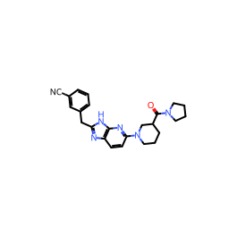 N#Cc1cccc(Cc2nc3ccc(N4CCCC(C(=O)N5CCCC5)C4)nc3[nH]2)c1